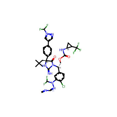 C=N/C=N\N(c1cc([C@@H](COC(=O)N[C@H]2CC2C(F)(F)F)N2C(=N)N[C@](CC(C)(C)C)(c3ccc(-c4cnn(C(F)F)c4)cc3)C2=O)ccc1Cl)C(F)F